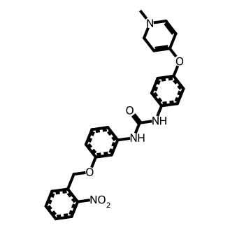 CN1C=CC(Oc2ccc(NC(=O)Nc3cccc(OCc4ccccc4[N+](=O)[O-])c3)cc2)=CC1